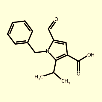 CC(C)c1c(C(=O)O)cc(C=O)n1Cc1ccccc1